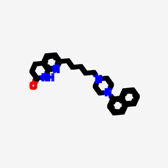 O=C1CCc2ccc(CCCCCN3CCN(c4cccc5ccccc45)CC3)nc2N1